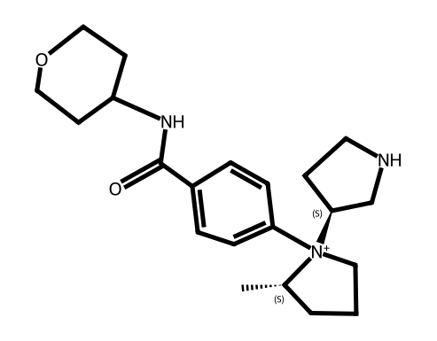 C[C@H]1CCC[N+]1(c1ccc(C(=O)NC2CCOCC2)cc1)[C@H]1CCNC1